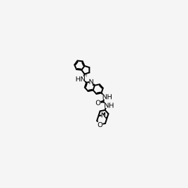 CN1C2COCC1CC(NC(=O)Nc1ccc3nc(N[C@@H]4CCc5ccccc54)ccc3c1)C2